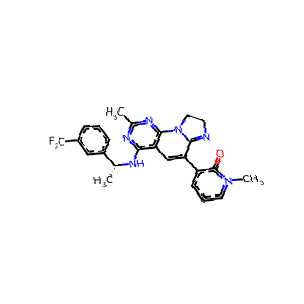 Cc1nc(N[C@H](C)c2cccc(C(F)(F)F)c2)c2c(n1)N1CCN=C1C(c1cccn(C)c1=O)=C2